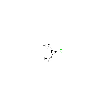 [CH3][Pb]([CH3])[Cl]